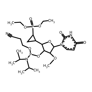 CCOP(=O)(OCC)C1CC1C1OC(n2ccc(=O)[nH]c2=O)C(OC)C1OP(OCCC#N)N(C(C)C)C(C)C